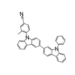 Cc1cc(C#N)ccc1-n1c2ccccc2c2cc(-c3ccc4c5ccccc5n(-c5ccccc5)c4c3)ccc21